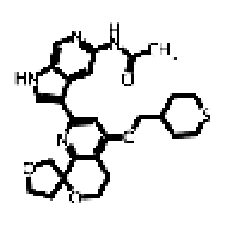 CC(=O)Nc1cc2c(-c3cc(OCC4CCSCC4)c4c(n3)C3(CCOC3)OCC4)c[nH]c2cn1